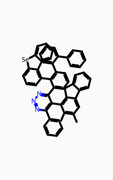 Cc1cc2c(c(-c3c(-c4ccccc4)nnnc3-c3cccc(-c4ccccc4-c4ccccc4)c3-c3cccc4[se]c5ccccc5c34)c1C)Cc1ccccc1-2